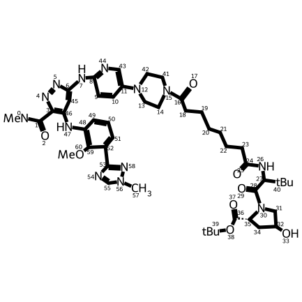 CNC(=O)c1nnc(Nc2ccc(N3CCN(C(=O)CCCCCCC(=O)NC(C(=O)N4CC(O)C[C@@H]4C(=O)OC(C)(C)C)C(C)(C)C)CC3)cn2)cc1Nc1cccc(-c2ncn(C)n2)c1OC